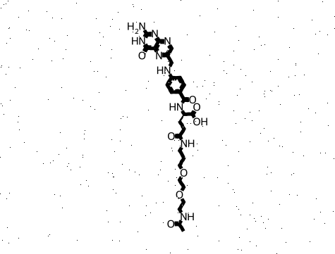 CC(=O)NCCOCCOCCCNC(=O)CC[C@@H](NC(=O)c1ccc(NCc2cnc3nc(N)[nH]c(=O)c3n2)cc1)C(=O)O